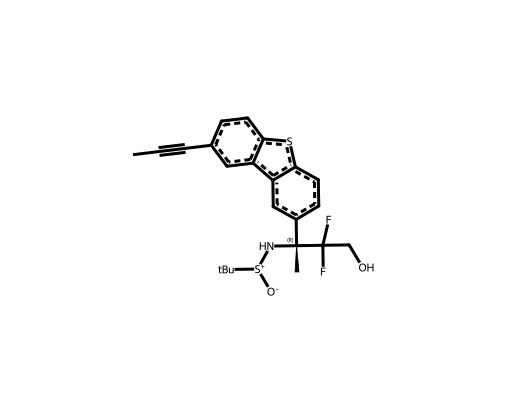 CC#Cc1ccc2sc3ccc([C@@](C)(N[S+]([O-])C(C)(C)C)C(F)(F)CO)cc3c2c1